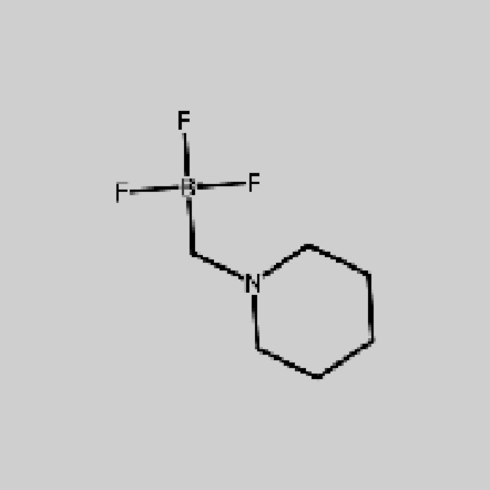 F[B-](F)(F)CN1CCCCC1